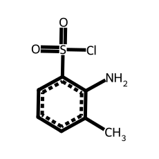 Cc1cccc(S(=O)(=O)Cl)c1N